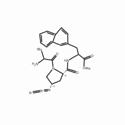 COC(=O)C(Cc1ccc2ccccc2c1)NC(=O)[C@@H]1C[C@H](N=[N+]=[N-])CN1C(=O)C(N)C(C)(C)C